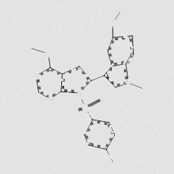 COc1ccc2c(c1)c(-c1cc3c(OC)ncnc3n1S(=O)(=O)c1ccc(C)cc1)cn2C